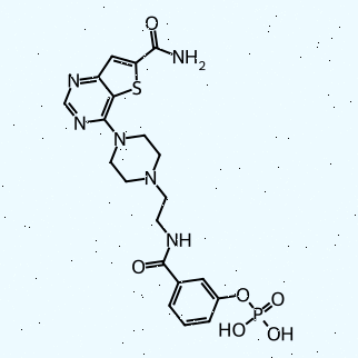 NC(=O)c1cc2ncnc(N3CCN(CCNC(=O)c4cccc(OP(=O)(O)O)c4)CC3)c2s1